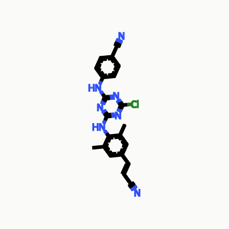 Cc1cc(C=CC#N)cc(C)c1Nc1nc(Cl)nc(Nc2ccc(C#N)cc2)n1